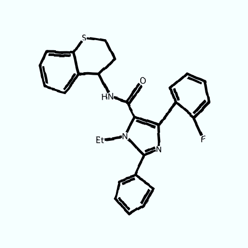 CCn1c(-c2ccccc2)nc(-c2ccccc2F)c1C(=O)NC1CCSc2ccccc21